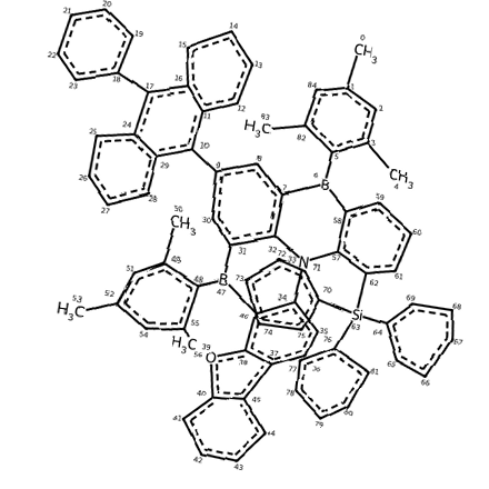 Cc1cc(C)c(B2c3cc(-c4c5ccccc5c(-c5ccccc5)c5ccccc45)cc4c3N(c3ccc5c(oc6ccccc65)c3B4c3c(C)cc(C)cc3C)c3c2cccc3[Si](c2ccccc2)(c2ccccc2)c2ccccc2)c(C)c1